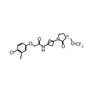 O=C(COc1ccc(Cl)c(F)c1)NC12CC(N3CC[C@H](COC(F)(F)F)C3=O)(C1)C2